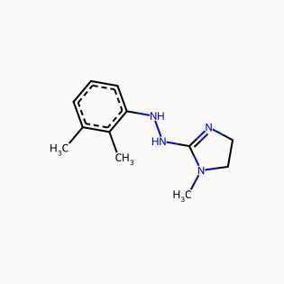 Cc1cccc(NNC2=NCCN2C)c1C